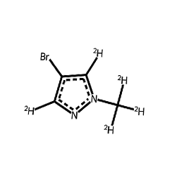 [2H]c1nn(C([2H])([2H])[2H])c([2H])c1Br